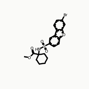 COC(=O)C1(NS(=O)(=O)c2ccc3oc4cc(Br)ccc4c3c2)CCCCC1